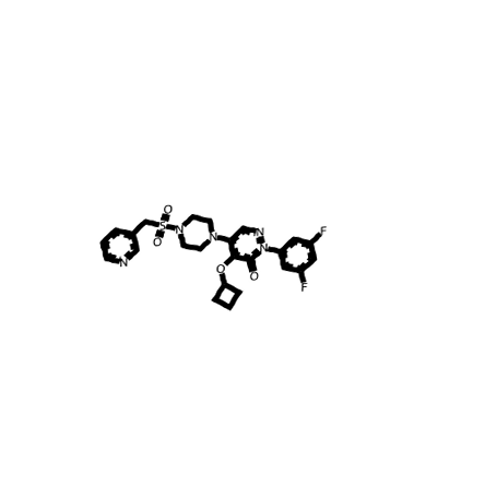 O=c1c(OC2CCC2)c(N2CCN(S(=O)(=O)Cc3cccnc3)CC2)cnn1-c1cc(F)cc(F)c1